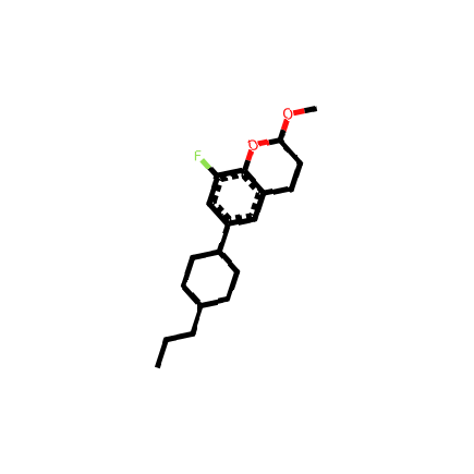 CCCC1CCC(c2cc(F)c3c(c2)CCC(OC)O3)CC1